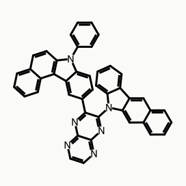 c1ccc(-n2c3ccc(-c4nc5nccnc5nc4-n4c5ccccc5c5cc6ccccc6cc54)cc3c3c4ccccc4ccc32)cc1